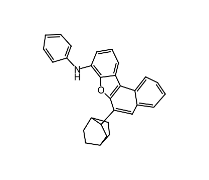 c1ccc(Nc2cccc3c2oc2c(C4CC5CCC4CC5)cc4ccccc4c23)cc1